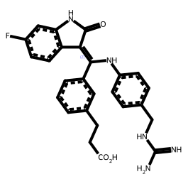 N=C(N)NCc1ccc(N/C(=C2\C(=O)Nc3cc(F)ccc32)c2cccc(CCC(=O)O)c2)cc1